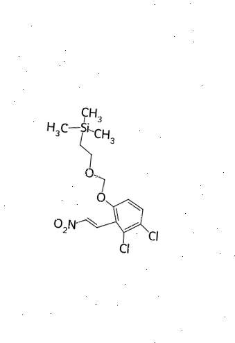 C[Si](C)(C)CCOCOc1ccc(Cl)c(Cl)c1C=C[N+](=O)[O-]